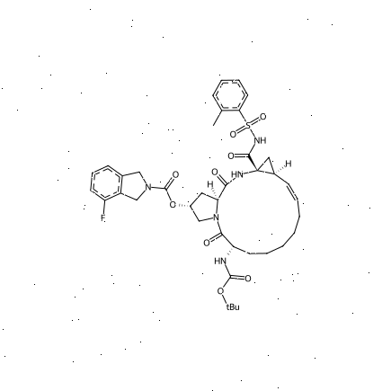 Cc1ccccc1S(=O)(=O)NC(=O)[C@@]12C[C@H]1/C=C\CCCCC[C@H](NC(=O)OC(C)(C)C)C(=O)N1C[C@H](OC(=O)N3Cc4cccc(F)c4C3)C[C@H]1C(=O)N2